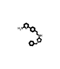 Nc1cccc(-c2ccc(CCNC3CCN(Cc4ccccc4)C3)cc2)n1